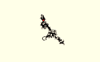 C[Si](C)(C)CCOCn1cc(Cl)c2c(NCCCOc3nc(N4CC5CC4CO5)ccc3N)nc(Cl)nc21